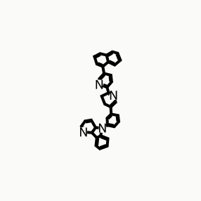 C1=CC2C(N=C1)c1ccccc1N2c1cccc(C2=CN=C(c3ccc(-c4cccc5ccccc45)cn3)CC2)c1